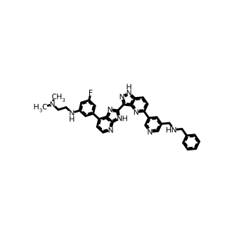 CN(C)CCNc1cc(F)cc(-c2ccnc3[nH]c(-c4n[nH]c5ccc(-c6cncc(CNCc7ccccc7)c6)nc45)nc23)c1